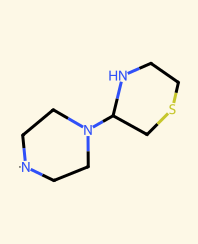 C1CN(C2CSCCN2)CC[N]1